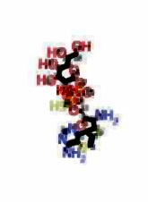 Nc1ncnc2c1SC=C[C@@]21O[C@H](COP(=O)(S)OP(=O)(O)OC2OC([C@@H](O)CO)C(O)C(O)C2O)[C@@H](N)[C@H]1F